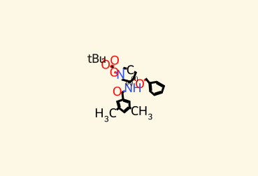 Cc1cc(C)cc(C(=O)N[C@@H]2CN(OC(=O)OC(C)(C)C)CCC[C@H]2OCc2ccccc2)c1